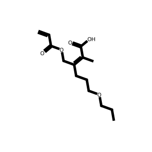 C=CC(=O)OCC(CCCOCCC)=C(C)C(=O)O